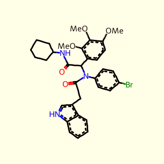 COc1ccc(C(C(=O)NC2CCCCC2)N(C(=O)Cc2c[nH]c3ccccc23)c2ccc(Br)cc2)c(OC)c1OC